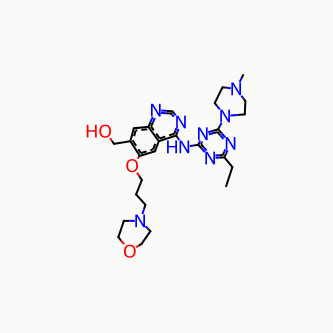 CCc1nc(Nc2ncnc3cc(CO)c(OCCCN4CCOCC4)cc23)nc(N2CCN(C)CC2)n1